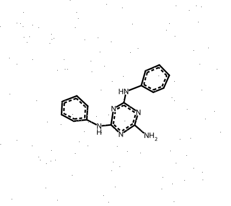 Nc1nc(Nc2ccccc2)nc(Nc2ccccc2)n1